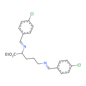 CCOC(=O)C(CCC/N=C/c1ccc(Cl)cc1)/N=C/c1ccc(Cl)cc1